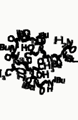 CCC(C)NCC(=O)N(CC(=O)N(CC(=O)N(CC(=O)N(CC(=O)N(CC(=O)N(CC(=O)N(CC(=O)N(CC(=O)N(CC(N)=O)C(C)CC)C(C)CC)CC(C)O)C(C)CC)C(C)CC)C(C)CC)CC(C)O)CC(C)O)C(C)CC